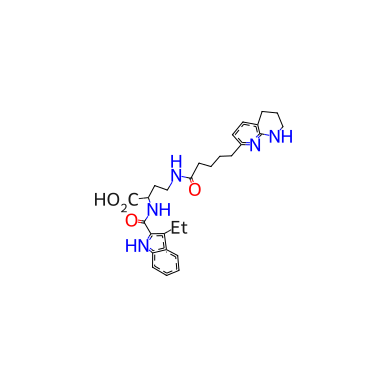 CCc1c(C(=O)NC(CCNC(=O)CCCCc2ccc3c(n2)NCCC3)C(=O)O)[nH]c2ccccc12